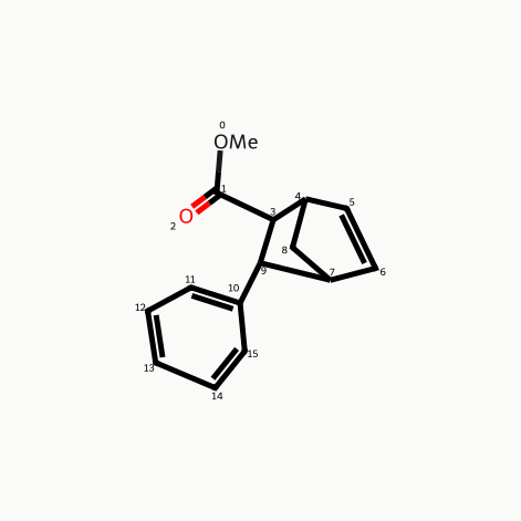 COC(=O)C1C2C=CC(C2)C1c1ccccc1